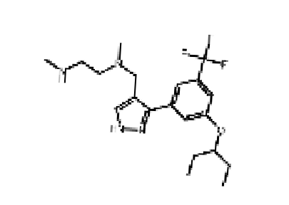 CCC(CC)Oc1cc(-c2n[nH]cc2CN(C)CCNC)cc(C(F)(F)F)c1